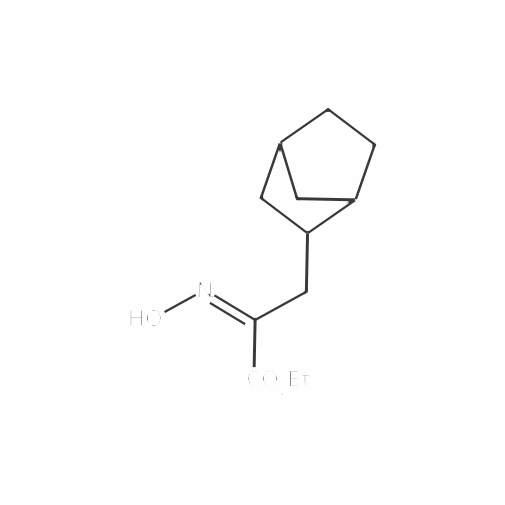 CCOC(=O)C(CC1CC2CCC1C2)=NO